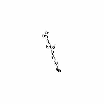 CCOCCOCCOCCOCC(=O)NCCCCCC(=O)CC